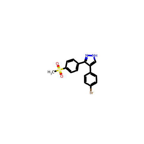 CS(=O)(=O)c1ccc(-c2n[nH]cc2-c2ccc(Br)cc2)cc1